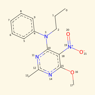 CCCN(c1ccccc1)c1nc(C)nc(OC)c1[N+](=O)[O-]